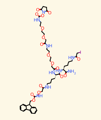 NC(=O)[C@H](CCCCNC(=O)CI)NC(=O)[C@H](CCCCNC(=O)CONC(=O)OCC1c2ccccc2-c2ccccc21)NC(=O)COCCOCCNC(=O)COCCOCCNC(=O)ON1C(=O)CCC1=O